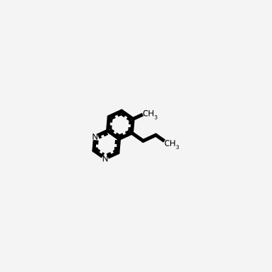 CCCc1c(C)ccc2ncncc12